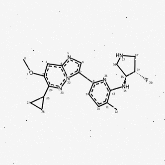 COc1cc2ncc(-c3ccc(C)c(N[C@H]4CNC[C@@H]4F)n3)n2nc1C1CC1